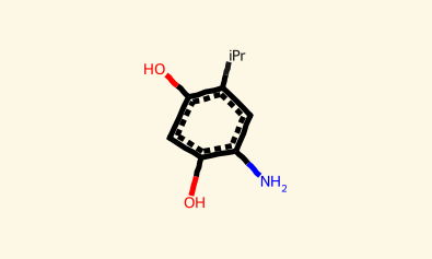 CC(C)c1cc(N)c(O)cc1O